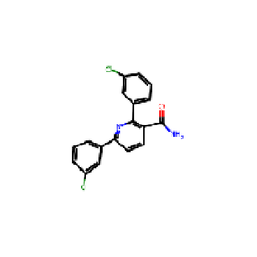 NC(=O)c1ccc(-c2cccc(Cl)c2)nc1-c1cccc(Cl)c1